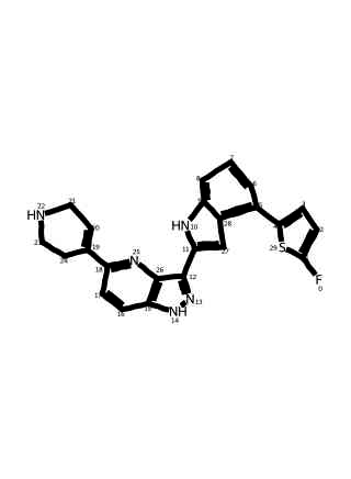 Fc1ccc(-c2cccc3[nH]c(-c4n[nH]c5ccc(C6=CCNCC6)nc45)cc23)s1